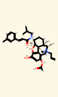 C=CCN1CC[C@]23c4c5c(OC(C)=O)cc(O)c4O[C@H]2[C@H](N(CC(C)C)C(=O)C=Cc2cccc(C)c2)CC[C@H]3[C@H]1C5